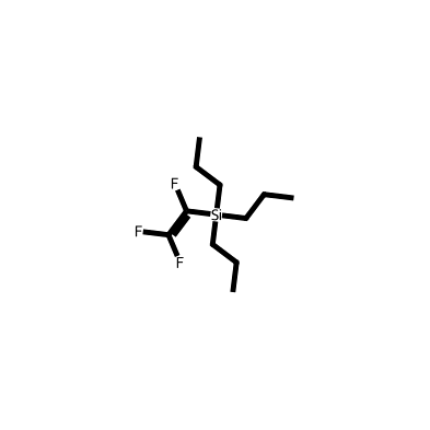 CCC[Si](CCC)(CCC)C(F)=C(F)F